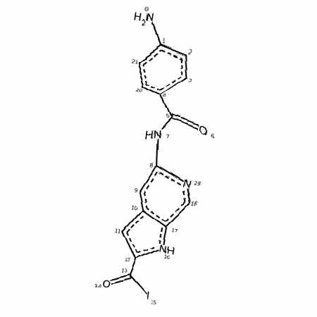 Nc1ccc(C(=O)Nc2cc3cc(C(=O)I)[nH]c3cn2)cc1